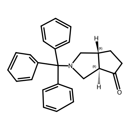 O=C1CC[C@H]2CN(C(c3ccccc3)(c3ccccc3)c3ccccc3)C[C@H]12